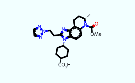 COC(=O)N1c2ccc3c(nc(CCn4nccn4)n3[C@H]3CC[C@H](C(=O)O)CC3)c2CC[C@@H]1C